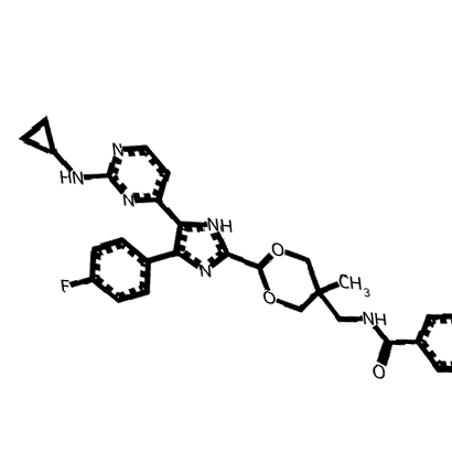 CC1(CNC(=O)c2ccccc2)COC(c2nc(-c3ccc(F)cc3)c(-c3ccnc(NC4CC4)n3)[nH]2)OC1